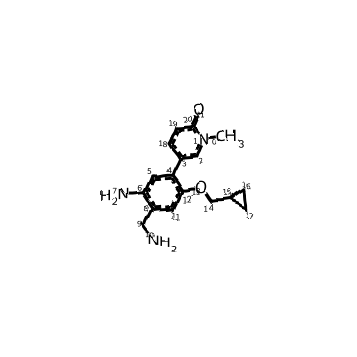 Cn1cc(-c2cc(N)c(CN)cc2OCC2CC2)ccc1=O